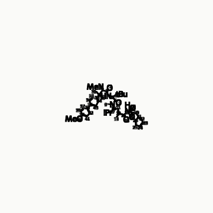 CNC(C(=O)NC(C(=O)N(C)C(C=C(C)C(=O)NS(=O)(=O)Cc1ccccc1)C(C)C)C(C)(C)C)C(C)(C)c1ccc(-c2ccc(OC)cc2)cc1